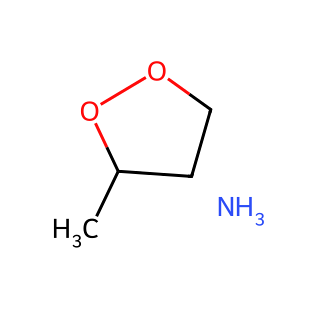 CC1CCOO1.N